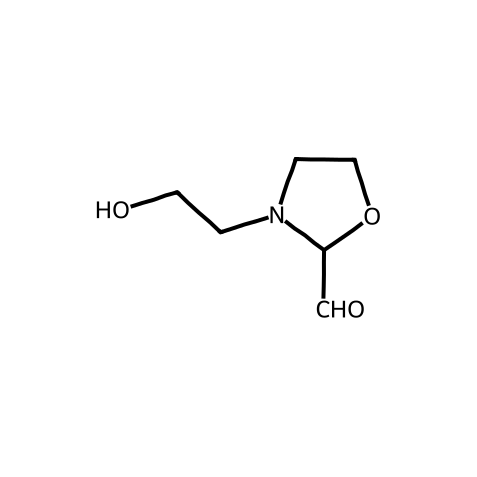 O=CC1OCCN1CCO